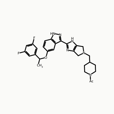 CC(=O)N1CCC(CN2Cc3nc(-c4n[nH]c5ccc(OC(C)c6cc(F)cc(F)c6)cc45)[nH]c3C2)CC1